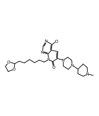 CN1CCC(N2CCN(c3cc4c(Cl)ncnc4n(CCCCCCC4OCCO4)c3=O)CC2)CC1